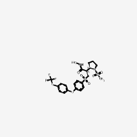 CS(=O)(=O)N1CCC[C@@H]1[C@@H](CS(=O)(=O)c1ccc(Oc2ccc(OC(F)(F)F)cc2)cc1)C(=O)NO